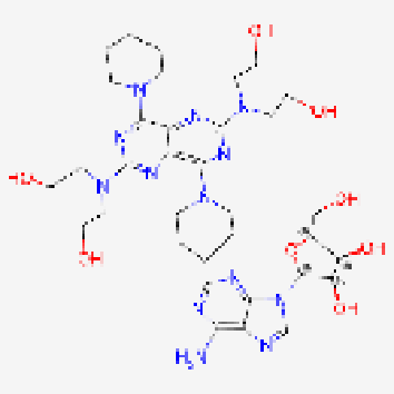 Nc1ncnc2c1ncn2[C@@H]1O[C@H](CO)[C@@H](O)[C@H]1O.OCCN(CCO)c1nc(N2CCCCC2)c2nc(N(CCO)CCO)nc(N3CCCCC3)c2n1